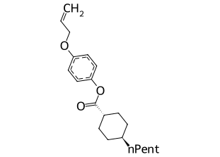 C=CCOc1ccc(OC(=O)[C@H]2CC[C@H](CCCCC)CC2)cc1